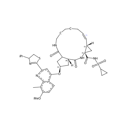 COc1ccc2c(O[C@H]3CC4C(=O)NCCCCC/C=C\[C@@H]5C[C@]5(C(=O)NS(=O)(=O)C5CC5)NC(=O)[C@@H]4C3)cc(C3=NC(C(C)C)CS3)nc2c1C